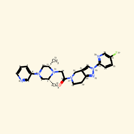 C[C@@H]1CN(c2cccnc2)C[C@H](C)N1CC(=O)N1CCc2nn(-c3ccc(F)cn3)cc2C1